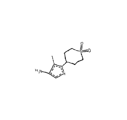 Cc1c(N)cnn1C1CCS(=O)(=O)CC1